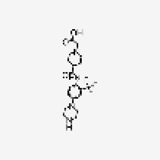 O=C(O)CN1CCC(C(=O)Nc2ccc(N3CCNCC3)cc2C(F)(F)F)CC1